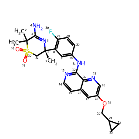 CC1(C)C(N)=N[C@](C)(c2cc(Nc3nccc4cc(OCC5CC5)cnc34)ccc2F)CS1(=O)=O